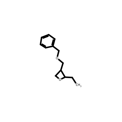 CCC1OCC1COCc1ccccc1